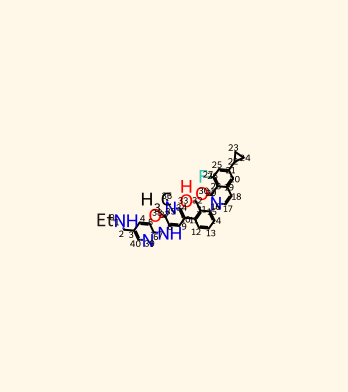 CCNCc1ccc(Nc2cc(-c3cccc(-n4ccc5cc(C6CC6)cc(F)c5c4=O)c3CO)cn(C)c2=O)nc1